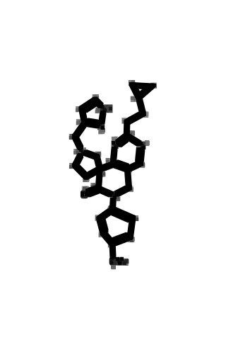 COc1ccc(N2Cc3cnc(CCC4CC4)nc3C3(CCN(Cc4cc[nH]n4)C3)C2=O)cc1